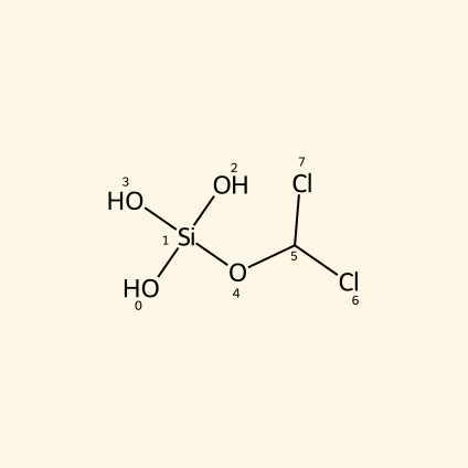 O[Si](O)(O)OC(Cl)Cl